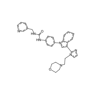 O=C(NCc1cccnc1)Nc1ccc(-n2cc(-c3nccn3CCN3CCOCC3)c3ccccc32)cc1